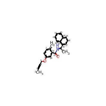 CC#CCOc1ccc(C)c(C(=O)N[C@H](C)c2cccc3ccccc23)c1